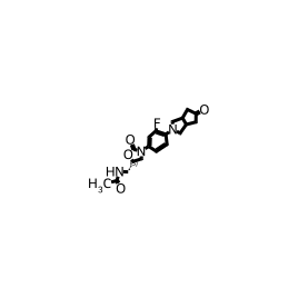 CC(=O)NC[C@H]1CN(c2ccc(N3CC4CC(=O)CC4C3)c(F)c2)C(=O)O1